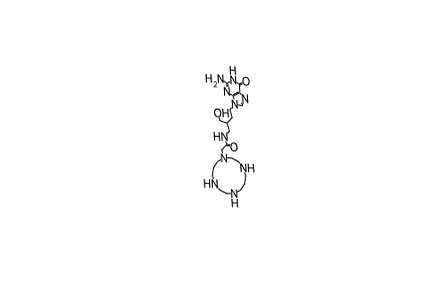 Nc1nc2c(ncn2CCC(CO)CNC(=O)CN2CCCNCCNCCCNCC2)c(=O)[nH]1